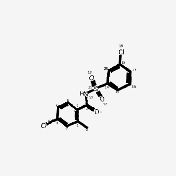 Cc1cc(Cl)ccc1C(=O)NS(=O)(=O)c1cccc(Cl)c1